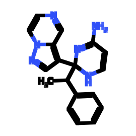 CC(c1ccccc1)C1(c2cnn3ccncc23)N=C(N)C=CN1